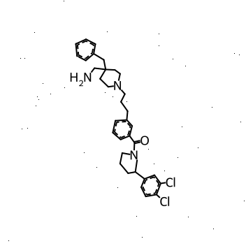 NCC1(Cc2ccccc2)CCN(CCCc2cccc(C(=O)N3CCCC(c4ccc(Cl)c(Cl)c4)C3)c2)CC1